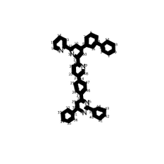 c1ccc(-c2cccc(-c3cc(-c4ccccn4)nc(-c4ccc(-c5ccc(-c6cc(-c7ccccc7)nc(-c7ccccc7)n6)cc5)cn4)c3)c2)cc1